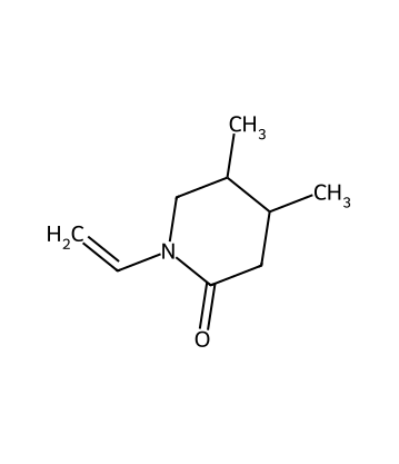 C=CN1CC(C)C(C)CC1=O